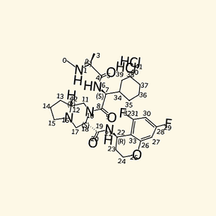 CN[C@@H](C)C(=O)N[C@H](C(=O)N1C[C@H]2CCCN2C[C@H]1C(=O)N[C@@H]1CCOc2cc(F)cc(F)c21)C1CCCCC1.Cl.Cl